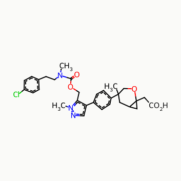 CN(CCc1ccc(Cl)cc1)C(=O)OCc1c(-c2ccc(C3(C)COC4(CC(=O)O)CC4C3)cc2)cnn1C